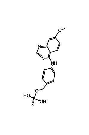 COc1ccc2c(Nc3ccc(COP(O)(O)=S)cc3)ncnc2c1